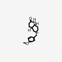 COc1ccc(C[C@@H]2CC[C@@H]3NC(=O)CC[C@@H]3C2)cc1